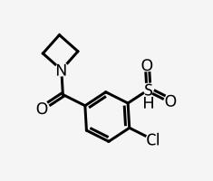 O=C(c1ccc(Cl)c([SH](=O)=O)c1)N1CCC1